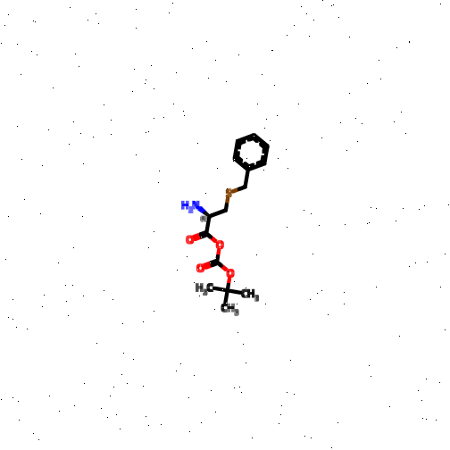 CC(C)(C)OC(=O)OC(=O)[C@@H](N)CSCc1ccccc1